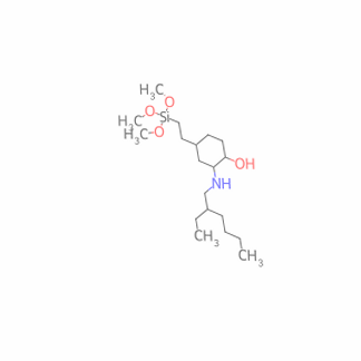 CCCCC(CC)CNC1CC(CC[Si](OC)(OC)OC)CCC1O